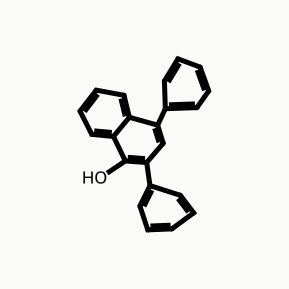 Oc1c(-c2ccccc2)cc(-c2ccccc2)c2ccccc12